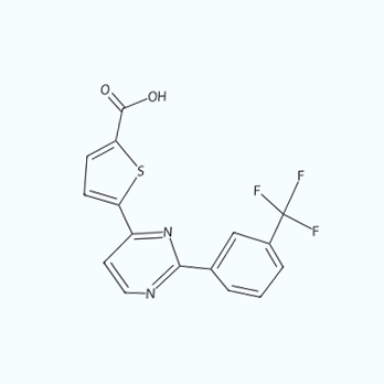 O=C(O)c1ccc(-c2ccnc(-c3cccc(C(F)(F)F)c3)n2)s1